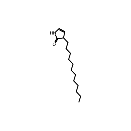 CCCCCCCCCCCCC1C=CNC1=O